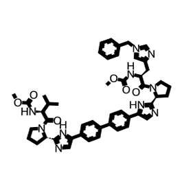 COC(=O)N[C@@H](Cc1cn(Cc2ccccc2)cn1)C(=O)N1CCC[C@H]1c1ncc(-c2ccc(-c3ccc(-c4cnc([C@@H]5CCCN5C(=O)[C@@H](NC(=O)OC)C(C)C)[nH]4)cc3)cc2)[nH]1